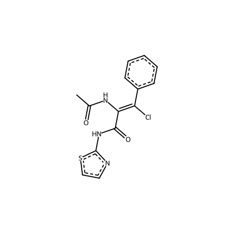 CC(=O)NC(C(=O)Nc1nccs1)=C(Cl)c1ccccc1